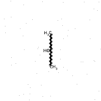 CCCCCCCCC=CC(O)CCCCCCCCC